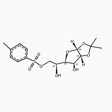 Cc1ccc(S(=O)(=O)OC[C@H](O)[C@H]2O[C@@H]3OC(C)(C)O[C@@H]3[C@H]2O)cc1